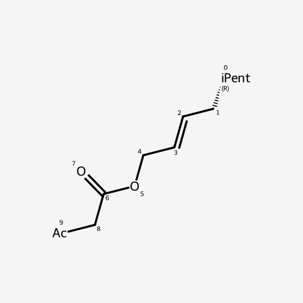 CCC[C@@H](C)CC=CCOC(=O)CC(C)=O